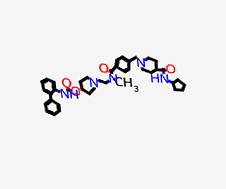 CN(CCN1CCC(OC(=O)Nc2ccccc2-c2ccccc2)CC1)C(=O)c1ccc(CN2CCC(C(=O)NC3CCCC3)CC2)cc1